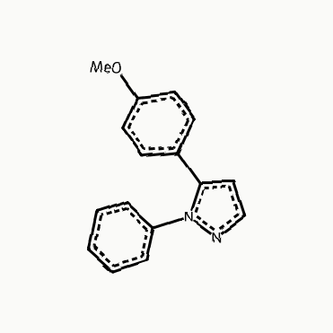 COc1ccc(-c2ccnn2-c2ccccc2)cc1